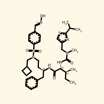 CC[C@H](C)[C@@H](NC(=O)N(C)Cc1csc(C(C)C)n1)C(=O)N[C@H](CCN(CC1CCC1)S(=O)(=O)c1ccc(/C=N/O)cc1)Cc1ccccc1